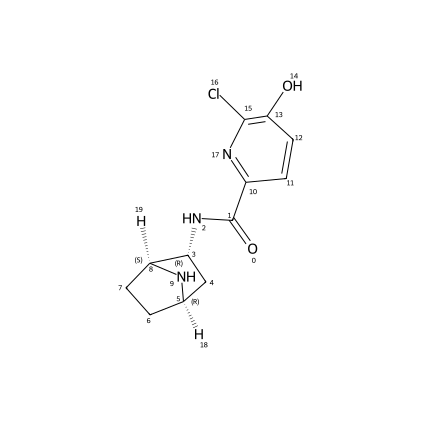 O=C(N[C@@H]1C[C@H]2CC[C@@H]1N2)c1ccc(O)c(Cl)n1